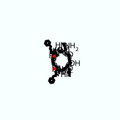 CN[C@@H](C)C(=O)N[C@H]1COC(O)CCC(=O)OC[C@H](NC(=O)[C@H](N)NC)C(=O)N2C[C@@H](OCCO[C@@H]3CN(C1=O)[C@@H]1CN(CCc4ccccc4)C[C@@H]13)[C@H]1CN(CCc3ccccc3)C[C@H]12